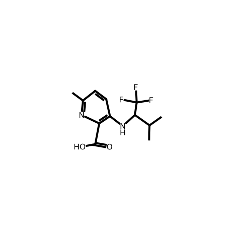 Cc1ccc(NC(C(C)C)C(F)(F)F)c(C(=O)O)n1